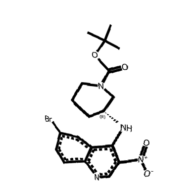 CC(C)(C)OC(=O)N1CCC[C@@H](Nc2c([N+](=O)[O-])cnc3ccc(Br)cc23)C1